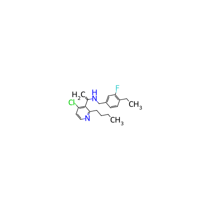 C=C(NCc1ccc(CC)c(F)c1)c1c(Cl)ccnc1CCCC